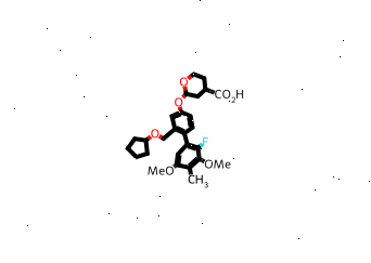 COc1cc(-c2ccc(OC3CC(C(=O)O)CCO3)cc2COC2CCCC2)c(F)c(OC)c1C